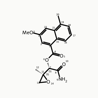 COc1cc(C(=O)O[C@H](C(N)=O)[C@]2(C)CO2)c2cccc(C)c2c1